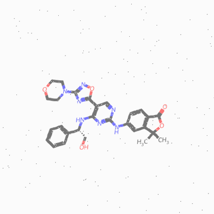 CC1(C)OC(=O)c2ccc(Nc3ncc(-c4nc(N5CCOCC5)no4)c(N[C@H](CO)c4ccccc4)n3)cc21